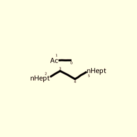 CC(C)=O.CCCCCCCCCCCCCCCC